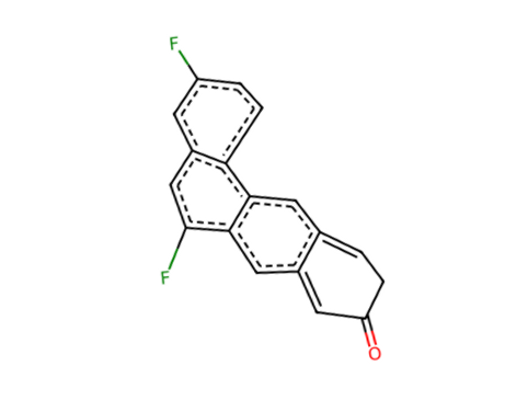 O=C1C=c2cc3c(F)cc4cc(F)ccc4c3cc2=CC1